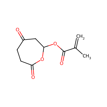 C=C(C)C(=O)OC1CC(=O)CCC(=O)O1